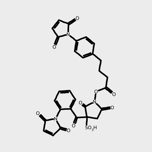 O=C(CCCc1ccc(N2C(=O)C=CC2=O)cc1)ON1C(=O)CC(C(=O)c2ccccc2N2C(=O)C=CC2=O)(S(=O)(=O)O)C1=O